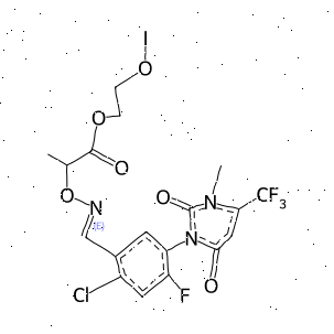 CC(O/N=C/c1cc(-n2c(=O)cc(C(F)(F)F)n(C)c2=O)c(F)cc1Cl)C(=O)OCCOI